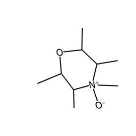 CC1OC(C)C(C)[N+](C)([O-])C1C